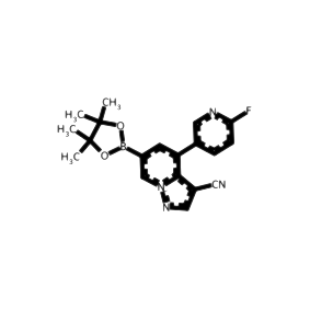 CC1(C)OB(c2cc(-c3ccc(F)nc3)c3c(C#N)cnn3c2)OC1(C)C